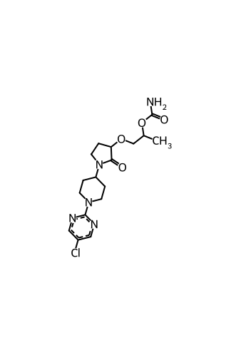 CC(COC1CCN(C2CCN(c3ncc(Cl)cn3)CC2)C1=O)OC(N)=O